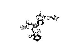 CC(C)(C)OC(=O)NC(Cc1ccc2c(c1)oc(=O)n2COCC[Si](C)(C)C)CN1C(=O)c2ccccc2C1=O